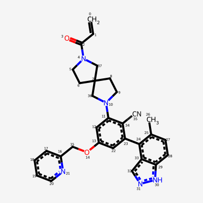 C=CC(=O)N1CCC2(CCN(c3cc(OCc4ccccn4)cc(-c4c(C)ccc5[nH]ncc45)c3C#N)C2)C1